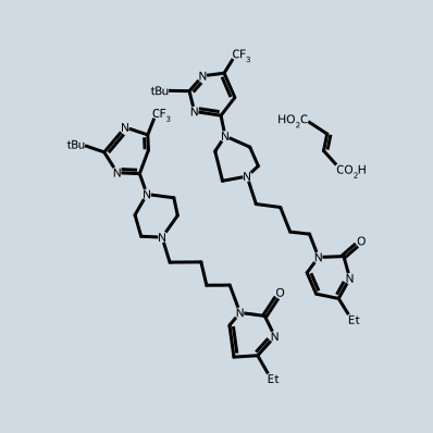 CCc1ccn(CCCCN2CCN(c3cc(C(F)(F)F)nc(C(C)(C)C)n3)CC2)c(=O)n1.CCc1ccn(CCCCN2CCN(c3cc(C(F)(F)F)nc(C(C)(C)C)n3)CC2)c(=O)n1.O=C(O)C=CC(=O)O